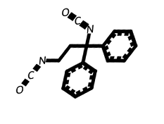 O=C=NCCC(N=C=O)(c1ccccc1)c1ccccc1